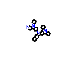 c1ccc(-n2c3ccc(-n4c5cc6ccccc6cc5c5cc6c7ccccc7n7c8ccccc8c(c54)c67)cc3c3ccncc32)cc1